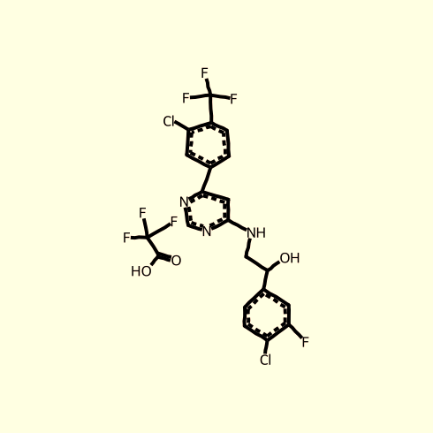 O=C(O)C(F)(F)F.OC(CNc1cc(-c2ccc(C(F)(F)F)c(Cl)c2)ncn1)c1ccc(Cl)c(F)c1